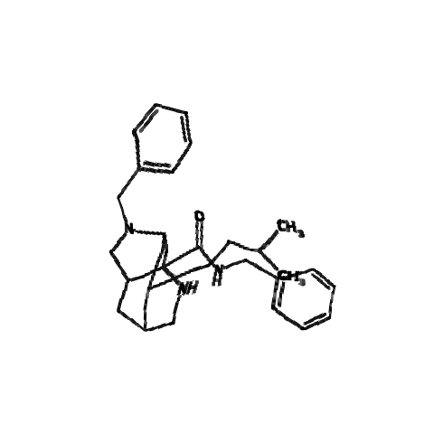 CC(C)CCC1C2CNC3(C(=O)NCc4ccccc4)C(C2)CN(Cc2ccccc2)C13